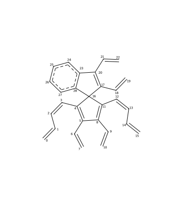 C=C/C=C\C1=C(C=C)C(C=C)=C(/C=C\C=C)C12C(C=C)=C(C=C)c1ccccc12